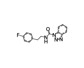 O=C(NCCc1ccc(F)cc1)n1nnc2ccccc21